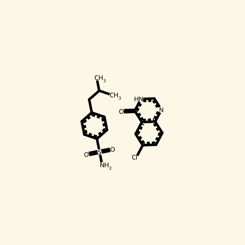 CC(C)Cc1ccc(S(N)(=O)=O)cc1.O=c1[nH]cnc2ccc(Cl)cc12